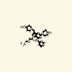 OC1CCN(Cc2cn(CCOCC(F)(F)F)c3c(Nc4ccncn4)nc(N4CCNCC4)nc23)CC1